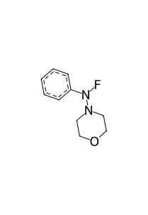 FN(c1ccccc1)N1CCOCC1